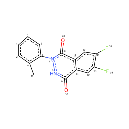 Cc1ccccc1-n1[nH]c(=O)c2cc(F)c(F)cc2c1=O